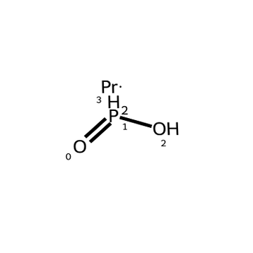 O=[PH2]O.[Pr]